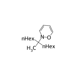 CCCCCCC(C)(CCCCCC)N1C=CC=CO1